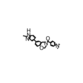 Cc1nc2cc(-c3ccc4c(c3)CN(C(=O)c3ccc(N(C)C)cc3)CCO4)ccc2[nH]1